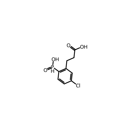 O=C(O)CCc1cc(Cl)ccc1[PH](=O)O